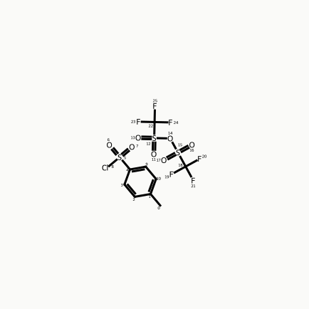 Cc1ccc(S(=O)(=O)Cl)cc1.O=S(=O)(OS(=O)(=O)C(F)(F)F)C(F)(F)F